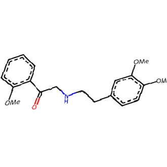 COc1ccc(CCNCC(=O)c2ccccc2OC)cc1OC